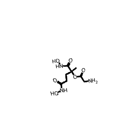 CC(CCC(=O)NO)(OC(=O)CN)C(=O)NO